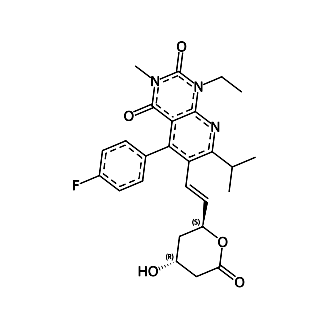 CCn1c(=O)n(C)c(=O)c2c(-c3ccc(F)cc3)c(C=C[C@@H]3C[C@@H](O)CC(=O)O3)c(C(C)C)nc21